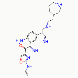 C=CNc1nc(C(=O)C(=N)c2cc(/C(C=N)=C/NCCC3CCCNCC3)ccc2N)co1